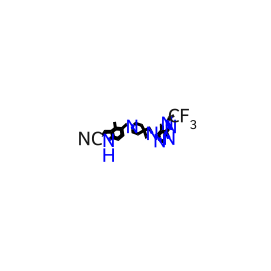 Cc1c(CN2CCC3(CC2)CN(c2ncnc4nn(CC(F)(F)F)cc24)C3)ccc2[nH]c(C#N)cc12